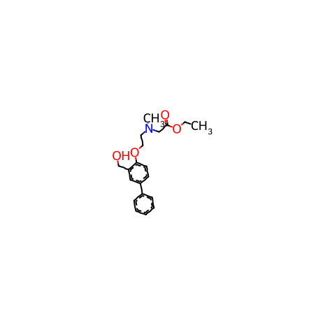 CCOC(=O)CN(C)CCOc1ccc(-c2ccccc2)cc1CO